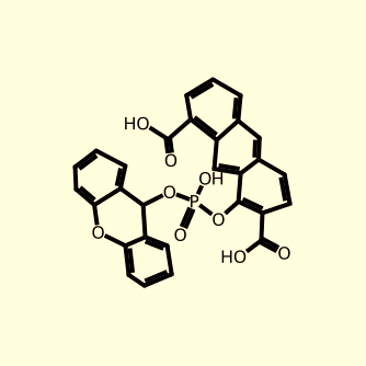 O=C(O)c1ccc2cc3cccc(C(=O)O)c3cc2c1OP(=O)(O)OC1c2ccccc2Oc2ccccc21